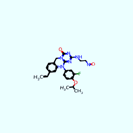 C=Cc1ccc(Cn2c(Nc3ccc(OC(C)C)c(F)c3)nc(NCCN=O)nc2=O)cc1